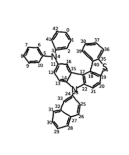 c1ccc(N(c2ccccc2)c2ccc3c(c2)c2c4c(ccc2n3-c2ccc3ccccc3c2)sc2ccccc24)cc1